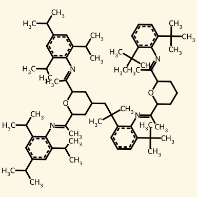 C/C(=N\c1c(C(C)C)cc(C(C)C)cc1C(C)C)C1CC(CC(C)(C)c2cccc(C(C)(C)C)c2/N=C(\C)C2CCCC(/C(C)=N/c3c(C(C)(C)C)cccc3C(C)(C)C)O2)CC(/C(C)=N/c2c(C(C)C)cc(C(C)C)cc2C(C)C)O1